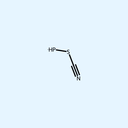 N#CS[PH]